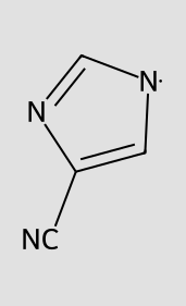 N#CC1=C[N]C=N1